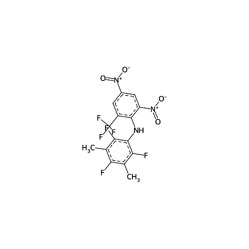 Cc1c(F)c(C)c(F)c(Nc2c([N+](=O)[O-])cc([N+](=O)[O-])cc2C(F)(F)F)c1F